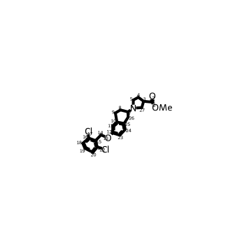 COC(=O)C1CCN(C2CCc3cc(OCc4c(Cl)cccc4Cl)ccc3C2)C1